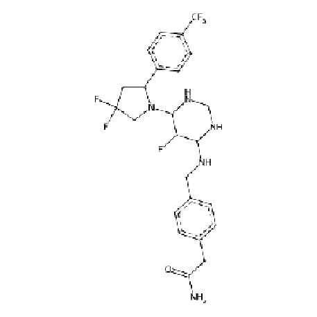 NC(=O)Cc1ccc(CNC2NCNC(N3CC(F)(F)CC3c3ccc(C(F)(F)F)cc3)C2F)cc1